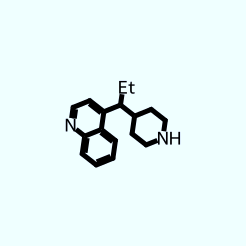 CCC(c1ccnc2ccccc12)C1CCNCC1